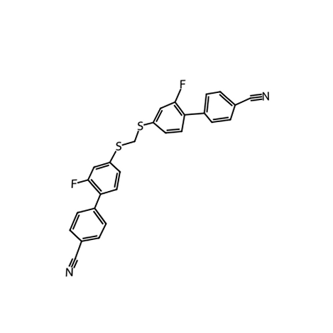 N#Cc1ccc(-c2ccc(SCSc3ccc(-c4ccc(C#N)cc4)c(F)c3)cc2F)cc1